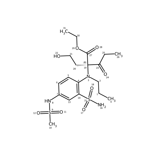 CCCN(c1ccc(NS(C)(=O)=O)cc1S(N)(=O)=O)[C@](CCO)(C(=O)CC)C(=O)OCC